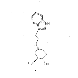 C[C@H]1CN(CCCc2c[nH]c3ccccc23)CC[C@@H]1O